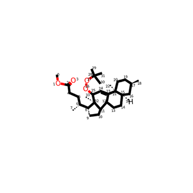 COC(=O)CC[C@@H](C)[C@H]1CCC2C3CC[C@@H]4C[C@H](C)CC[C@]4(C)C3=CC(OOC(C)(C)C)[C@@]21C